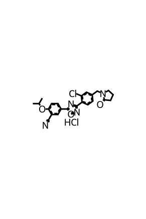 CC(C)Oc1ccc(-c2nc(-c3ccc(CN4CCCC4=O)cc3Cl)no2)cc1C#N.Cl